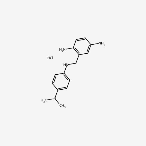 CN(C)c1ccc(NCc2cc(N)ccc2N)cc1.Cl